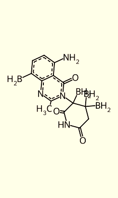 Bc1ccc(N)c2c(=O)n(C3(B)C(=O)NC(=O)CC3(B)B)c(C)nc12